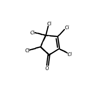 O=C1C(Cl)=C(Cl)C(Cl)(Cl)C1Cl